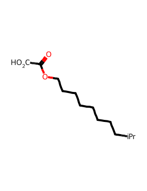 CC(C)CCCCCCCCOC(=O)C(=O)O